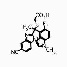 CCc1ccc2c(ccn2C)c1C(OCC(=O)O)(c1nc2cc(C#N)ccc2[nH]1)C(F)(F)F